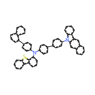 c1ccc2cc3c(cc2c1)c1ccccc1n3-c1ccc(-c2ccc(N(c3ccc(-c4cccc5ccccc45)cc3)c3cccc4c3sc3ccccc34)cc2)cc1